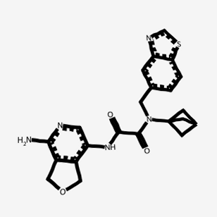 Nc1ncc(NC(=O)C(=O)N(Cc2ccc3scnc3c2)C23CC(C2)C3)c2c1COC2